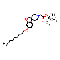 CCCCCCCCOc1ccc2c(c1)OCC21CCN(CC(=O)OC(C)(C)C)CC1